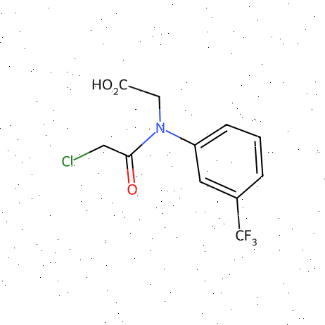 O=C(O)CN(C(=O)CCl)c1cccc(C(F)(F)F)c1